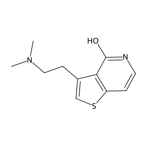 CN(C)CCc1csc2ccnc(O)c12